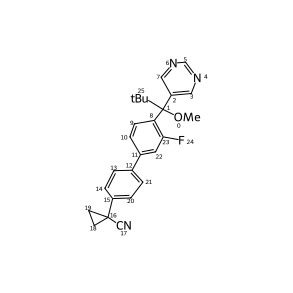 COC(c1cncnc1)(c1ccc(-c2ccc(C3(C#N)CC3)cc2)cc1F)C(C)(C)C